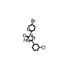 O=c1[nH]c(-c2cccc(Cl)c2)nn1-c1ccc(Br)cn1